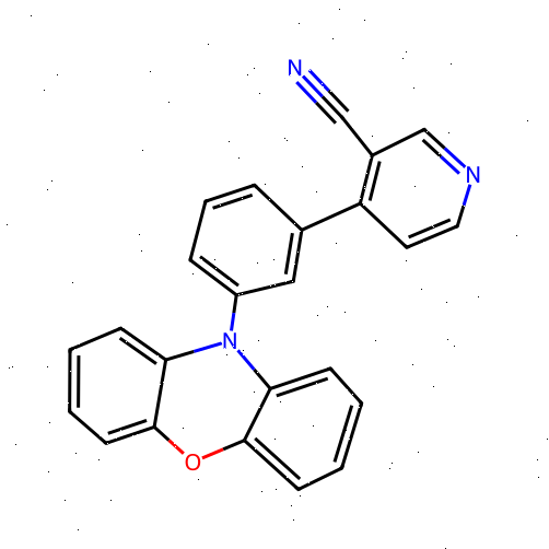 N#Cc1cnccc1-c1cccc(N2c3ccccc3Oc3ccccc32)c1